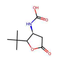 CC(C)(C)C1OC(=O)C[C@@H]1NC(=O)O